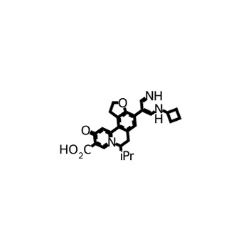 CC(C)C1Cc2cc(/C(C=N)=C/NC3CCC3)c3c(c2-c2cc(=O)c(C(=O)O)cn21)CCO3